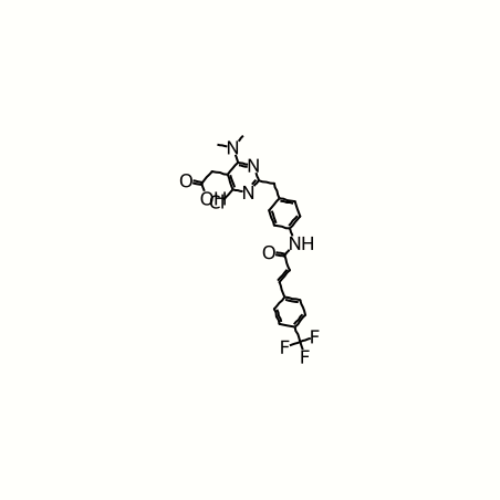 CN(C)c1nc(Cc2ccc(NC(=O)C=Cc3ccc(C(F)(F)F)cc3)cc2)nc(Cl)c1CC(=O)O